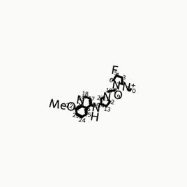 C#[N+][C@@H]1C[C@H](F)CN1C(=O)CN1CC[C@@H](Nc2ccnc3c(OC)cccc23)C1